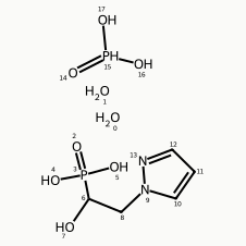 O.O.O=P(O)(O)C(O)Cn1cccn1.O=[PH](O)O